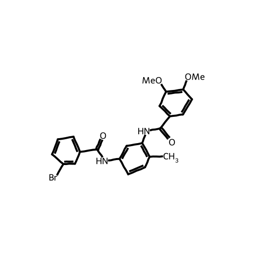 COc1ccc(C(=O)Nc2cc(NC(=O)c3cccc(Br)c3)ccc2C)cc1OC